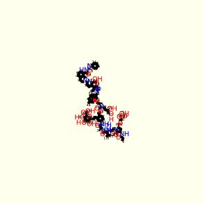 CCC(=O)N[C@H]1C[C@@H](COCCS(=O)(=O)O)N(CC(=O)N[C@H](C(=O)N[C@@H](C)C(=O)Nc2ccc(COC(=O)N(CCOC34CC5(C)CC(C)(CC(Cn6ncc(-c7ccc(N8CCc9cccc(C(=O)Nc%10nc%11ccccc%11s%10)c9C8)nc7C(=O)O)c6C)(C5)C3)C4)CC[C@H](O)CO)c(CC[C@@H]3O[C@H](C(=O)O)[C@@H](O)[C@H](O)[C@H]3O)c2)C(C)C)C1=O